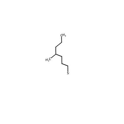 CCCC(C)CCC[S]